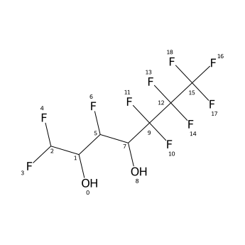 OC(C(F)F)C(F)C(O)C(F)(F)C(F)(F)C(F)(F)F